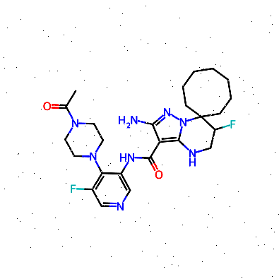 CC(=O)N1CCN(c2c(F)cncc2NC(=O)c2c(N)nn3c2NCC(F)C32CCCCCCC2)CC1